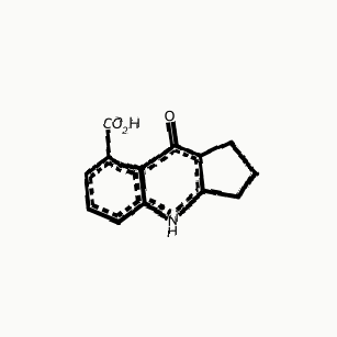 O=C(O)c1cccc2[nH]c3c(c(=O)c12)CCC3